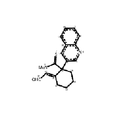 CNC(=S)C1(c2cnc3ccccc3c2)CCCCC1=CC=O